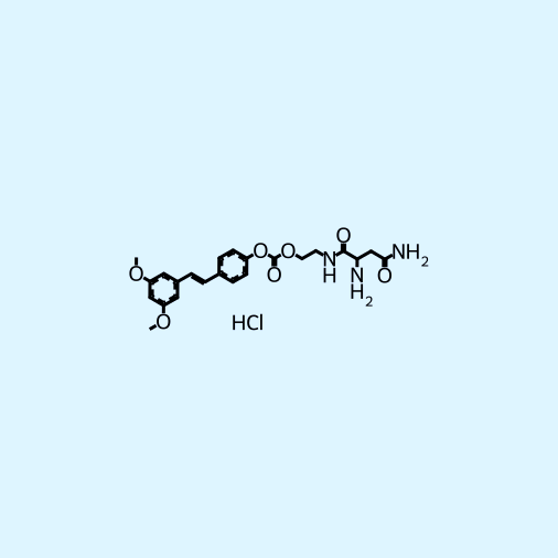 COc1cc(C=Cc2ccc(OC(=O)OCCNC(=O)C(N)CC(N)=O)cc2)cc(OC)c1.Cl